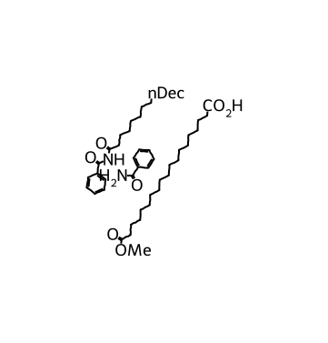 CCCCCCCCCCCCCCCCCC(=O)NC(=O)c1ccccc1.COC(=O)CCCCCCCCCCCCCCCCCC(=O)O.NC(=O)c1ccccc1